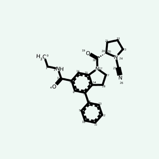 CCNC(=O)c1cc(-c2ccccc2)c2c(c1)N(C(=O)[C@@H]1CCCN1C#N)CC2